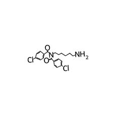 NCCCCCCN(C(=O)c1ccc(Cl)cc1)C(=O)c1ccc(Cl)cc1